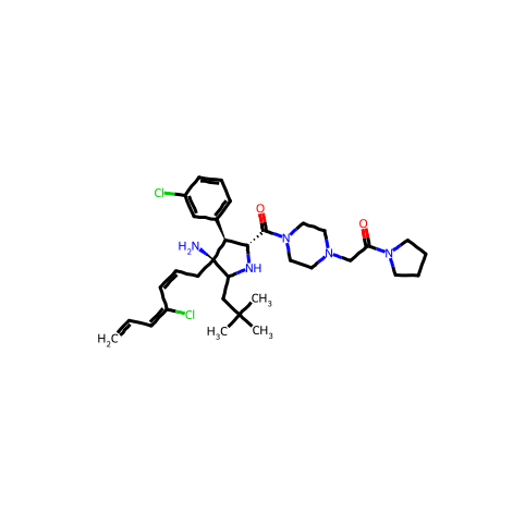 C=C/C=C(Cl)\C=C/C[C@@]1(N)C(CC(C)(C)C)N[C@@H](C(=O)N2CCN(CC(=O)N3CCCC3)CC2)[C@@H]1c1cccc(Cl)c1